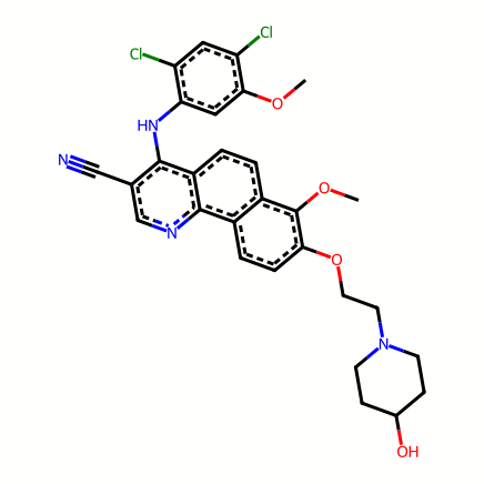 COc1cc(Nc2c(C#N)cnc3c2ccc2c(OC)c(OCCN4CCC(O)CC4)ccc23)c(Cl)cc1Cl